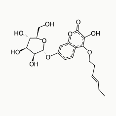 CCC=CCCOc1c(O)c(=O)oc2cc(O[C@H]3O[C@H](CO)[C@@H](O)[C@H](O)[C@@H]3O)ccc12